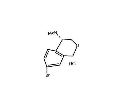 CN[C@@H]1COCc2cc(Br)ccc21.Cl